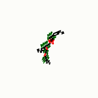 O=S(=O)(OCC(F)(F)C(F)(F)C(F)(OC(F)(F)C(F)(F)OC(F)(F)C(F)(F)C(F)(F)C(F)(F)F)C(F)(F)C(F)(F)F)C(F)(F)C(F)(F)C(F)(F)C(F)(F)F